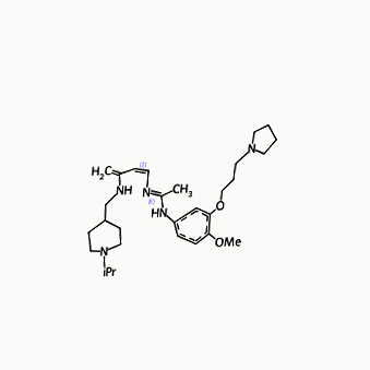 C=C(/C=C\N=C(/C)Nc1ccc(OC)c(OCCCN2CCCC2)c1)NCC1CCN(C(C)C)CC1